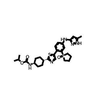 Cc1cc(Nc2ccc(-c3cnc([C@H]4CC[C@H](NC(=O)OC(C)C)CC4)s3)c(P3(=O)CCCC3)c2)n[nH]1